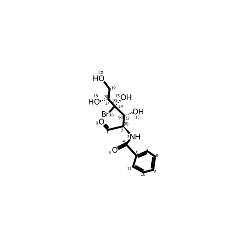 O=C[C@H](NC(=O)c1ccccc1)[C@@H](O)[C@@](O)(Br)[C@H](O)CO